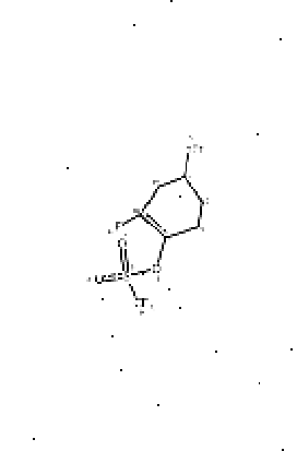 CCCC1CCC(OS(=O)(=O)C(F)(F)F)=C(F)C1